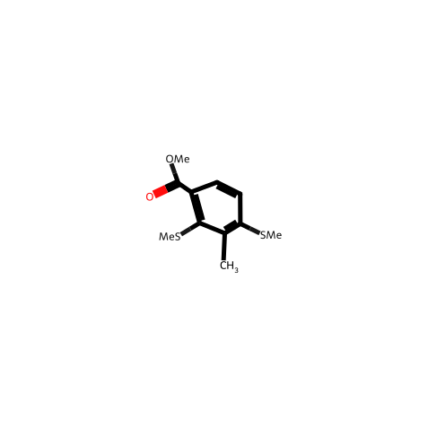 COC(=O)c1ccc(SC)c(C)c1SC